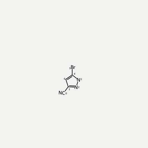 N#CC1=N[N]C(Br)=C1